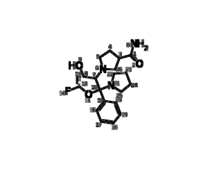 NC(=O)C1CCN(C(CO)C(OC(F)F)(c2ccccc2)N2CCCC2)C1